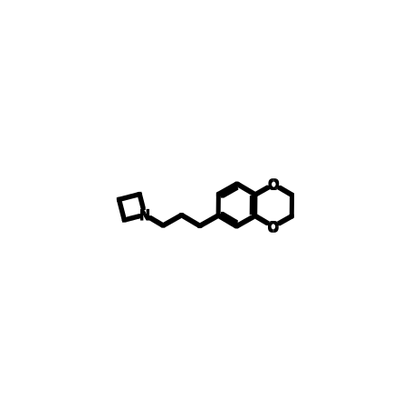 c1cc2c(cc1CCCN1CCC1)OCCO2